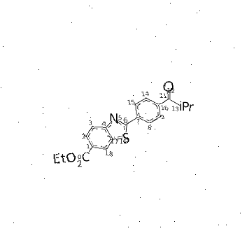 CCOC(=O)c1ccc2nc(-c3ccc(C(=O)C(C)C)cc3)sc2c1